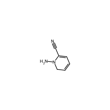 N#CC1=CC=CCN1N